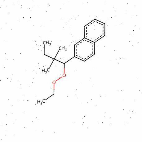 CCOOC(c1ccc2ccccc2c1)C(C)(C)CC